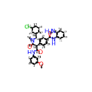 COc1cccc(NC(=O)C(C(=O)N(C)Cc2cccc(Cl)c2)c2ccc(C(=O)Nc3ccccc3N)cc2)c1